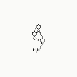 NCCCN1CCC(CCCN2c3ccccc3Sc3ccc(C(F)(F)F)cc32)CC1